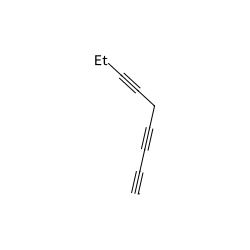 [C]#CC#CCC#CC[CH2]